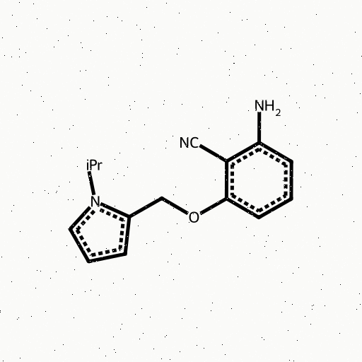 CC(C)n1cccc1COc1cccc(N)c1C#N